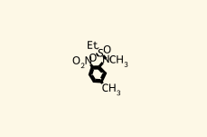 CCS(=O)(=O)N(C)c1cc(C)ccc1[N+](=O)[O-]